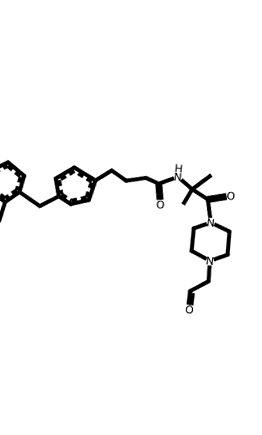 Cc1ccccc1Cc1ccc(CCCC(=O)NC(C)(C)C(=O)N2CCN(CC=O)CC2)cc1